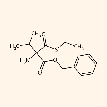 CCSC(=O)C(N)(C(=O)OCc1ccccc1)C(C)C